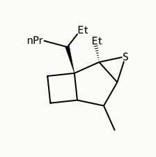 CCCC(CC)[C@]12CCC1C(C)C1S[C@@]12CC